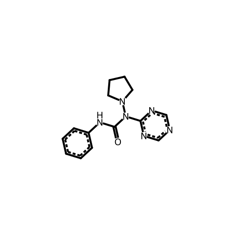 O=C(Nc1ccccc1)N(c1ncncn1)N1CCCC1